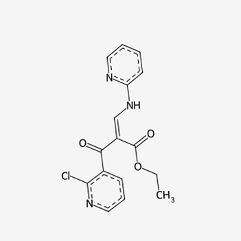 CCOC(=O)C(=CNc1ccccn1)C(=O)c1cccnc1Cl